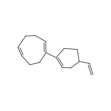 C=CC1CC=C(C2=CCCC=CCC2)CC1